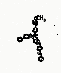 COc1ccc(-c2ccc(C(=O)N(Cc3ccc(-c4ccccc4)cc3)CC3CCN(Cc4ccc(OCc5ccccc5)cc4)CC3)cc2)cn1